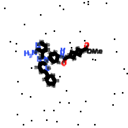 COC(=O)C1CC2(CC(C(=O)Nc3ccc(-n4c(-c5cccnc5N)nc5ccc(-c6ccccc6)nc54)cc3)C2)C1